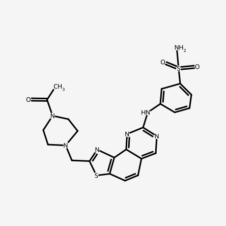 CC(=O)N1CCN(Cc2nc3c(ccc4cnc(Nc5cccc(S(N)(=O)=O)c5)nc43)s2)CC1